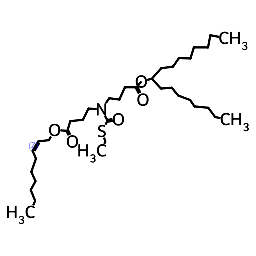 CCCCCC/C=C\COC(=O)CCCN(CCCC(=O)OC(CCCCCCCC)CCCCCCCC)C(=O)SCC